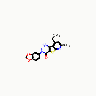 COCc1cc(C)nc2sc(C(=O)Nc3ccc4c(c3)OCO4)c(N)c12